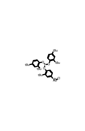 CC(C)(C)c1ccc(OP(Oc2ccc(C(C)(C)C)cc2C(C)(C)C)Oc2ccc(C(C)(C)C)cc2C(C)(C)C)c(C(C)(C)C)c1.[Cl][Au]